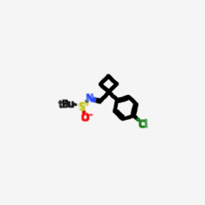 CC(C)(C)[S@@+]([O-])N=CC1(c2ccc(Cl)cc2)CCC1